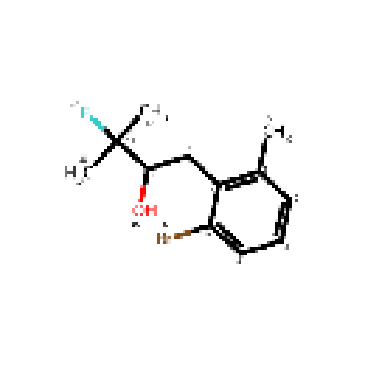 Cc1cccc(Br)c1CC(O)C(C)(C)F